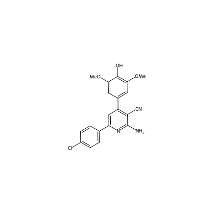 COc1cc(-c2cc(-c3ccc(Cl)cc3)nc(N)c2C#N)cc(OC)c1O